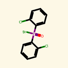 O=P(Br)(c1ccccc1Cl)c1ccccc1Cl